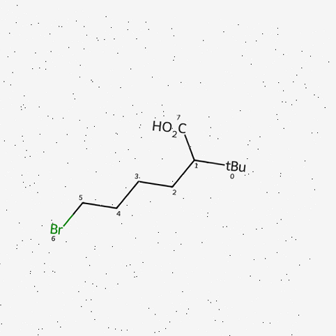 CC(C)(C)C(CCCCBr)C(=O)O